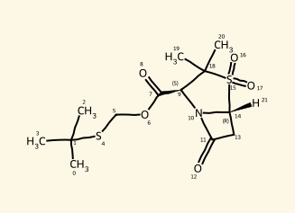 CC(C)(C)SCOC(=O)[C@@H]1N2C(=O)C[C@H]2S(=O)(=O)C1(C)C